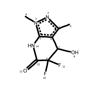 Cc1nn(C)c2c1C(O)C(F)(F)C(=O)N2